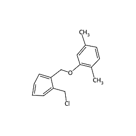 Cc1ccc(C)c(OCc2ccccc2CCl)c1